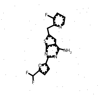 Nc1nc(-c2ccc(C(F)F)o2)nc2sc(Cc3ncccc3F)cc12